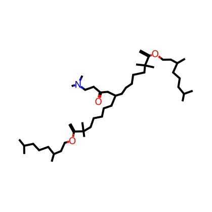 C=C(OCCC(C)CCCC(C)C)C(C)(C)CCCCCC(CCCCCC(C)(C)C(=C)OCCC(C)CCCC(C)C)CC(=O)CCN(C)C